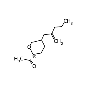 C=C(CCC)CC1CC[C@H](C(C)=O)OC1